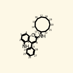 Nc1ccccc1C(=CC(=O)NC1CCCCCCCCCC1)c1ccccc1